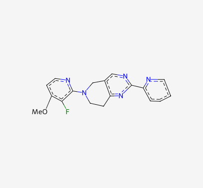 COc1ccnc(N2CCc3nc(-c4ccccn4)ncc3C2)c1F